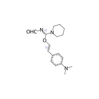 CN(C)c1ccc(/C=C/O/C(=N\C=O)N2CCCCC2)cc1